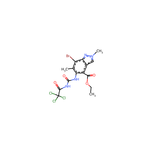 CCOC(=O)c1c(NC(=O)NC(=O)C(Cl)(Cl)Cl)c(C)c(Br)c2nn(C)cc12